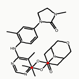 Cc1cc(N2CCN(C)C2=O)ccc1Nc1ncnc(OC2CC3COCC(C2)N3C(=O)OC(C)C)c1C